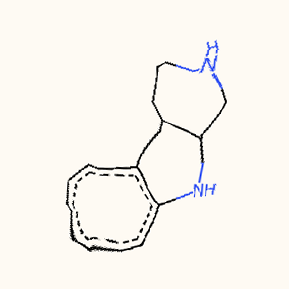 c1ccc2c(c1)NC1CNCC21